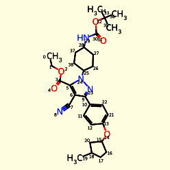 CCOC(=O)c1c(C#N)c(-c2ccc(OC3CCC(C)C3)cc2)nn1C1CCC(NC(=O)OC(C)(C)C)CC1